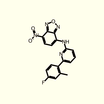 Cc1cc(F)ccc1-c1cccc(Nc2ccc([N+](=O)[O-])c3nonc23)n1